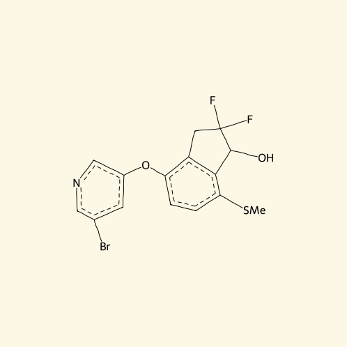 CSc1ccc(Oc2cncc(Br)c2)c2c1C(O)C(F)(F)C2